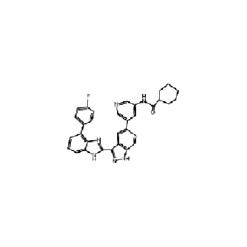 O=C(Nc1cncc(-c2cc3c(-c4nc5c(-c6ccc(F)cc6)cccc5[nH]4)n[nH]c3cn2)c1)C1CCCCC1